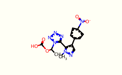 CC(OC(=O)O)n1nnnc1-c1c(-c2ccc([N+](=O)[O-])cc2)cnn1C